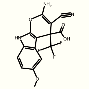 COc1ccc2[nH]c3c(c2c1)[C@](C(=O)O)(C(F)(F)F)C(C#N)=C(N)O3